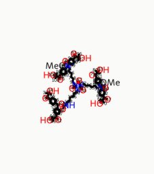 COC(=O)[N+](CCCCCCn1c(=O)n(CCCCCCNC(=O)OC(c2ccc(C(=O)C(C)(C)O)cc2)c2ccc(C(=O)C(C)(C)O)cc2)c(=O)n(CCCCCC[N+](C(=O)OC)(c2ccc(C(=O)C(C)(C)O)cc2)c2ccc(C(=O)C(C)(C)O)cc2)c1=O)(c1ccc(C(=O)C(C)(C)O)cc1)c1ccc(C(=O)C(C)(C)O)cc1